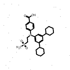 CS(=O)(=O)CCN(c1ccc(C(=O)O)cc1)c1cc(C2CCCCC2)cc(C2CCCCC2)c1